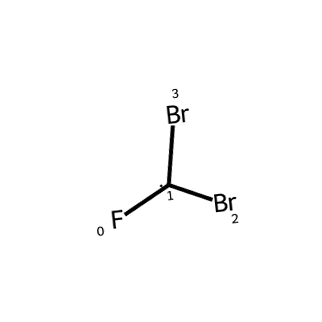 F[C](Br)Br